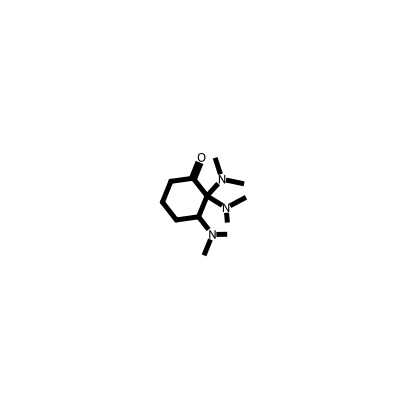 CN(C)C1CCCC(=O)C1(N(C)C)N(C)C